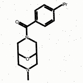 CC(C)c1ccc(C(=O)N2CC3CN(C)CC(C2)O3)cc1